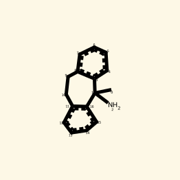 CC1(N)c2ccccc2CCc2ccccc21